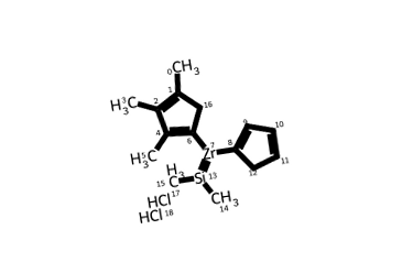 CC1=C(C)C(C)=[C]([Zr]([C]2=CC=CC2)=[Si](C)C)C1.Cl.Cl